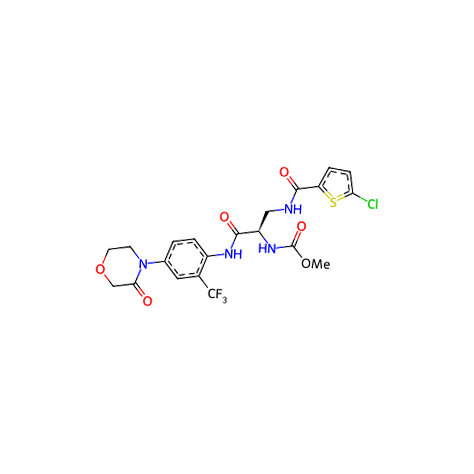 COC(=O)N[C@H](CNC(=O)c1ccc(Cl)s1)C(=O)Nc1ccc(N2CCOCC2=O)cc1C(F)(F)F